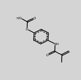 C=C(C)C(=O)Nc1ccc(OC(=O)O)cc1